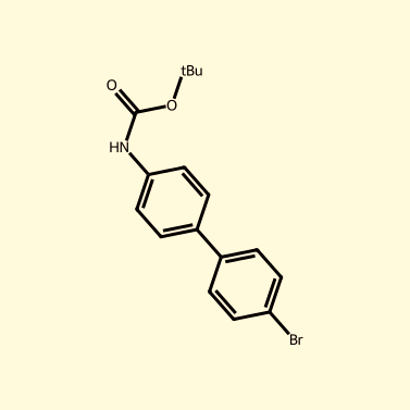 CC(C)(C)OC(=O)Nc1ccc(-c2ccc(Br)cc2)cc1